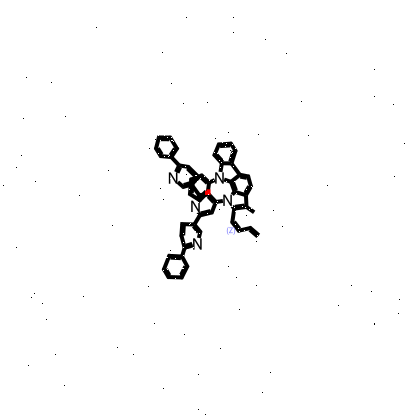 C=C/C=C\c1c(C)c2ccc3c4ccccc4n(-c4ccccc4)c3c2n1-c1cc(-c2ccc(-c3ccccc3)nc2)nc(-c2ccc(-c3ccccc3)nc2)c1